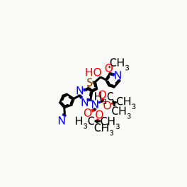 COc1ncccc1C(O)c1cc2c(N(C(=O)OC(C)(C)C)C(=O)OC(C)(C)C)nc(-c3cccc(C#N)c3)nc2s1